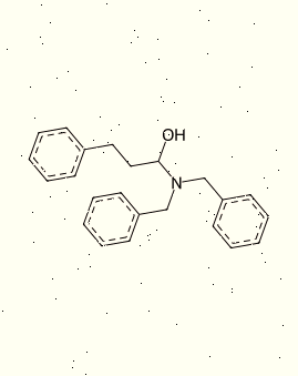 OC(CCc1ccccc1)N(Cc1ccccc1)Cc1ccccc1